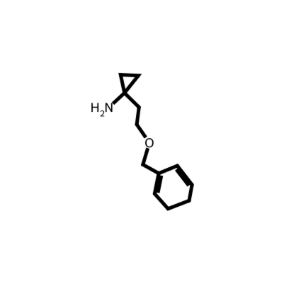 NC1(CCOCC2=CCCC=C2)CC1